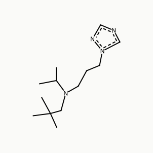 CC(C)N(CCCn1cncn1)CC(C)(C)C